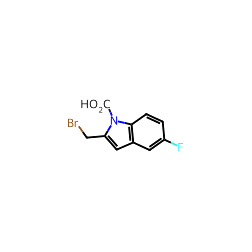 O=C(O)n1c(CBr)cc2cc(F)ccc21